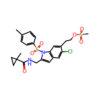 Cc1ccc(S(=O)(=O)n2c(CNC(=O)C3(C)CC3)cc3cc(Cl)c(CCOS(C)(=O)=O)cc32)cc1